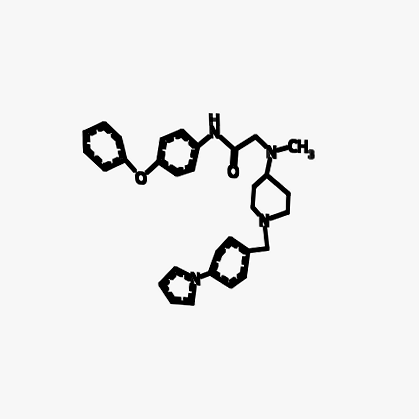 CN(CC(=O)Nc1ccc(Oc2ccccc2)cc1)C1CCN(Cc2ccc(-n3cccc3)cc2)CC1